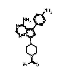 CC(C)C(=O)N1CCC(c2cc(-c3ccc(N)cc3)c3c(N)ncnn23)CC1